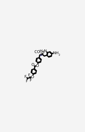 Nc1ccc(C/C(=C\c2ccc(OC(=O)c3ccc(OC(F)(F)C(F)F)cc3)cc2)C(=O)O)c(N)c1